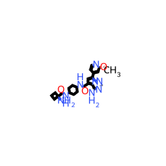 COc1cc(-c2cc(C(=O)N[C@H]3CC[C@H](NC(=O)C4(N)CCC4)CC3)c3c(N)ncnn23)ccn1